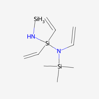 C=CN([Si](C)(C)C)[Si](C=C)(C=C)N[SiH3]